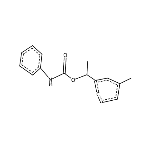 Cc1cccc(C(C)OC(=O)Nc2ccccc2)c1